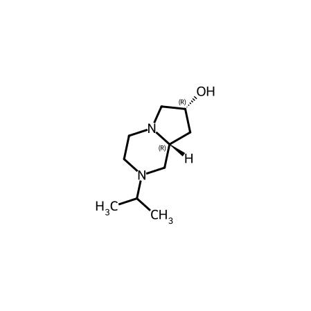 CC(C)N1CCN2C[C@H](O)C[C@@H]2C1